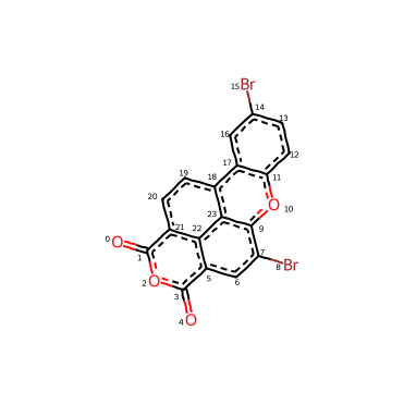 O=c1oc(=O)c2cc(Br)c3oc4ccc(Br)cc4c4ccc1c2c34